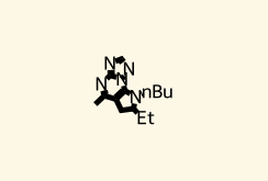 CCCCN1c2c(c(C)nc3ncnn23)CC1CC